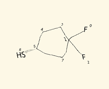 FC1(F)CC[C@@H](S)C1